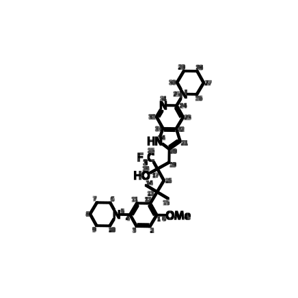 COc1ccc(N2CCCCC2)cc1C(C)(C)CC(O)(Cc1cc2cc(N3CCCCC3)ncc2[nH]1)C(F)(F)F